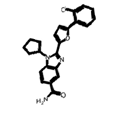 NC(=O)c1ccc2c(c1)nc(-c1ccc(-c3ccccc3Cl)o1)n2C1CCCC1